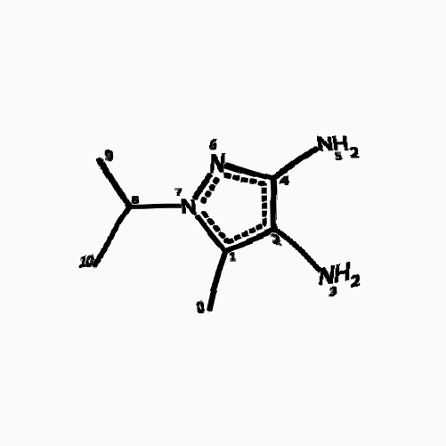 Cc1c(N)c(N)nn1C(C)C